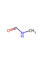 CN[C]=O